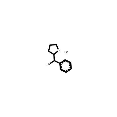 Cl.NC(c1ccccc1)C1CCCO1